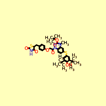 CN(C(=O)OC(C)(C)C)c1cc(Sc2cc(C(C)(C)C)c(O)c(C(C)(C)C)c2)ccc1NC(=O)COc1ccc(CC2SC(=O)NC2=O)cc1